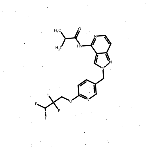 CC(C)C(=O)Nc1nccc2nn(Cc3ccc(OCC(F)(F)C(F)F)nc3)cc12